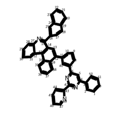 c1ccc(-c2cc(-c3cccc(-c4cc5c(-c6ccc7ccccc7c6)nc6ccccc6c5c5ccccc45)c3)nc(-c3ccccn3)n2)cc1